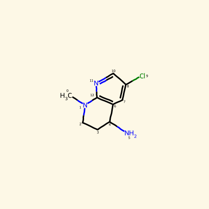 CN1CCC(N)c2cc(Cl)cnc21